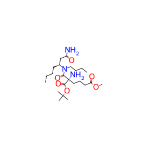 CCCC[C@@H](CC(N)=O)N(CCCC)C(=O)[C@@](N)(CCCC(=O)OC)C(=O)OC(C)(C)C